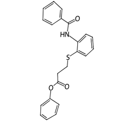 O=C(CCSc1ccccc1NC(=O)c1ccccc1)Oc1ccccc1